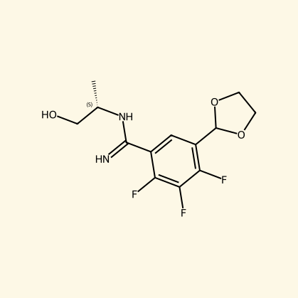 C[C@@H](CO)NC(=N)c1cc(C2OCCO2)c(F)c(F)c1F